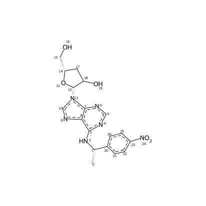 C[C@H](Nc1ncnc2c1ncn2[C@@H]1O[C@H](CO)CC1O)c1ccc([N+](=O)[O-])cc1